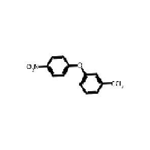 O=[N+]([O-])c1ccc(Oc2cccc(C(Cl)(Cl)Cl)c2)cc1